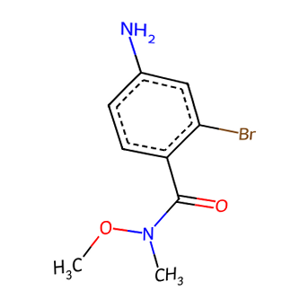 CON(C)C(=O)c1ccc(N)cc1Br